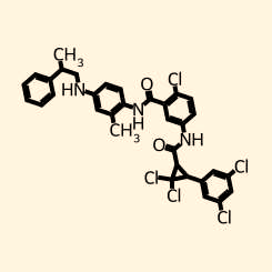 Cc1cc(NCC(C)c2ccccc2)ccc1NC(=O)c1cc(NC(=O)C2C(c3cc(Cl)cc(Cl)c3)C2(Cl)Cl)ccc1Cl